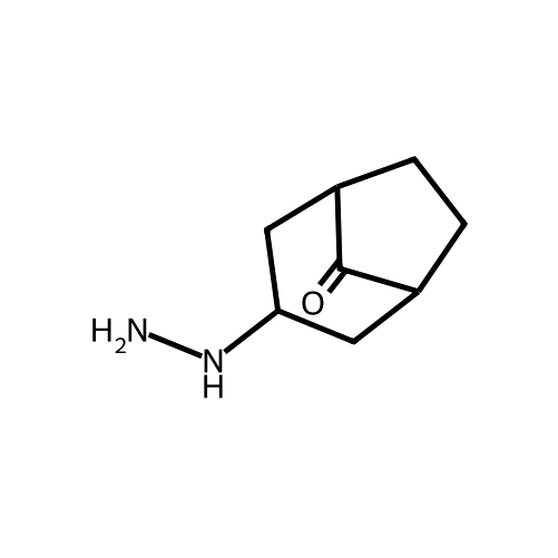 NNC1CC2CCC(C1)C2=O